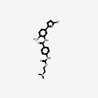 CN(C)CCOC(=O)Nc1ccc(C(=O)Nc2cc(-c3ccc(Cl)s3)ccc2N)cc1